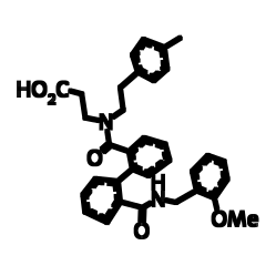 COc1ccccc1CNC(=O)c1ccccc1-c1ccccc1C(=O)N(CCC(=O)O)CCc1ccc(C)cc1